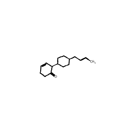 CCCCC1CCC(C2C=CCCC2=O)CC1